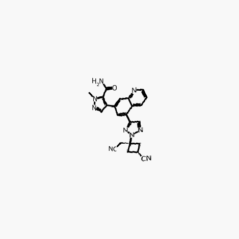 Cn1ncc(-c2cc(-c3cnn([C@]4(CC#N)C[C@@H](C#N)C4)n3)c3cccnc3c2)c1C(N)=O